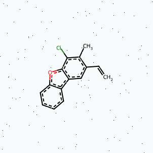 C=Cc1cc2c(oc3ccccc32)c(Cl)c1C